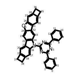 c1ccc(-c2nc(-c3ccccc3)nc(-n3c4cc5c(cc4c4cc6oc7cc8c(cc7c6cc43)CC8)CC5)n2)cc1